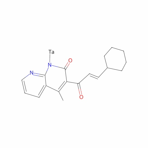 Cc1c(C(=O)/C=C/C2CCCCC2)c(=O)[n]([Ta])c2ncccc12